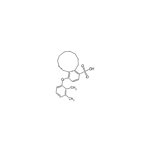 Cc1cccc(Oc2ccc(S(=O)(=O)O)c3c2CCCCCCCCC3)c1C